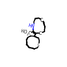 O=C(O)C1=C(C2=CCCCCCCCCC2)CCCCCCCCN1